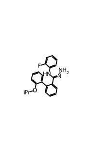 CC(C)Oc1ccccc1-c1ccccc1/C(=N/N)Nc1ccccc1F